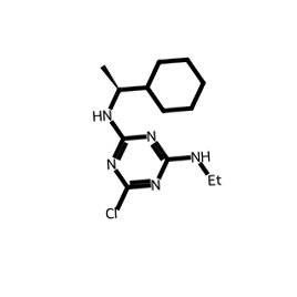 CCNc1nc(Cl)nc(N[C@@H](C)C2CCCCC2)n1